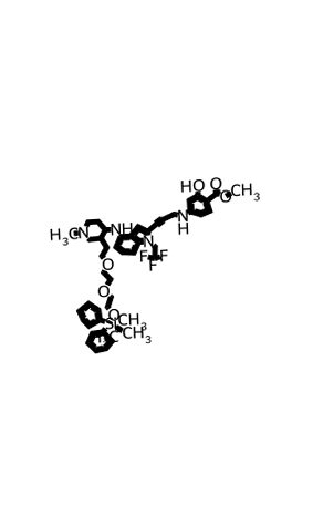 COC(=O)c1ccc(NCC#Cc2cc3c(NC4CCN(C)CC4CCOCCOCCO[Si](c4ccccc4)(c4ccccc4)C(C)(C)C)cccc3n2CC(F)(F)F)cc1O